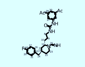 CC(=O)c1cc(NC(=O)NCCC[C@H]2C[C@H](Cc3ccc(F)cc3)CCN2C=N)cc(C(C)=O)c1